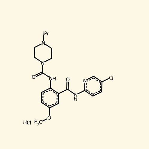 CC(C)N1CCN(C(=O)Nc2ccc(OC(F)(F)F)cc2C(=O)Nc2ccc(Cl)cn2)CC1.Cl